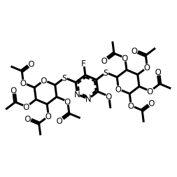 COc1nnc(SC2OC(OC(C)=O)C(OC(C)=O)C(OC(C)=O)C2OC(C)=O)c(F)c1SC1OC(OC(C)=O)C(OC(C)=O)C(OC(C)=O)C1OC(C)=O